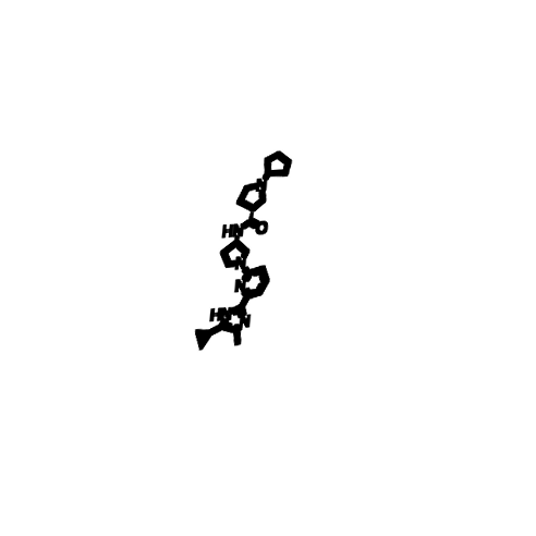 Cc1nc(-c2cccc(N3CC[C@@H](NC(=O)[C@@H]4CCN(C5CCCC5)C4)C3)n2)[nH]c1C1CC1